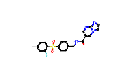 Cc1ccc(S(=O)(=O)c2ccc(CNC(=O)c3cnc4nccn4c3)cc2)c(F)c1